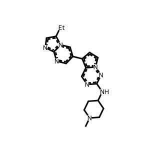 CCc1cnc2ncc(-c3ccn4nc(NC5CCN(C)CC5)ncc34)cn12